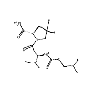 CC(C)COC(=O)N[C@H](C(=O)N1CC(F)(F)C[C@H]1C(N)=O)C(C)C